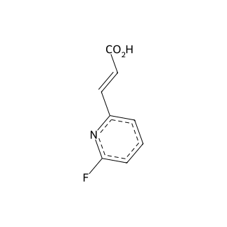 O=C(O)/C=C/c1cccc(F)n1